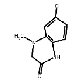 CN1CC(=O)Nc2ccc(Cl)cc21